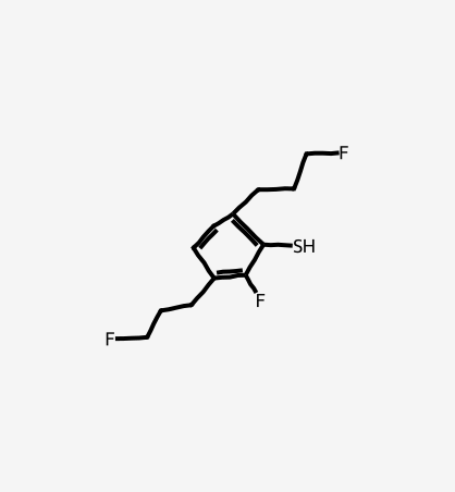 FCCCc1ccc(CCCF)c(S)c1F